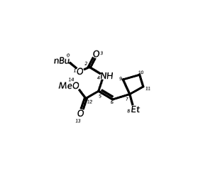 CCCCOC(=O)NC(=CC1(CC)CCC1)C(=O)OC